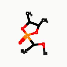 CCOC(C)P1(=O)OC(C)C(C)O1